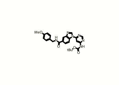 COc1ccc(CNC(=O)c2ccc3c(c2)ncn3-c2cc(NC(=O)OC(C)(C)C)ncn2)cc1